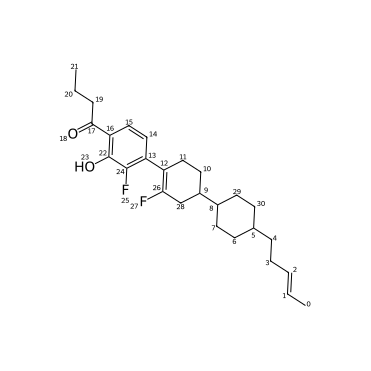 C/C=C/CCC1CCC(C2CCC(c3ccc(C(=O)CCC)c(O)c3F)=C(F)C2)CC1